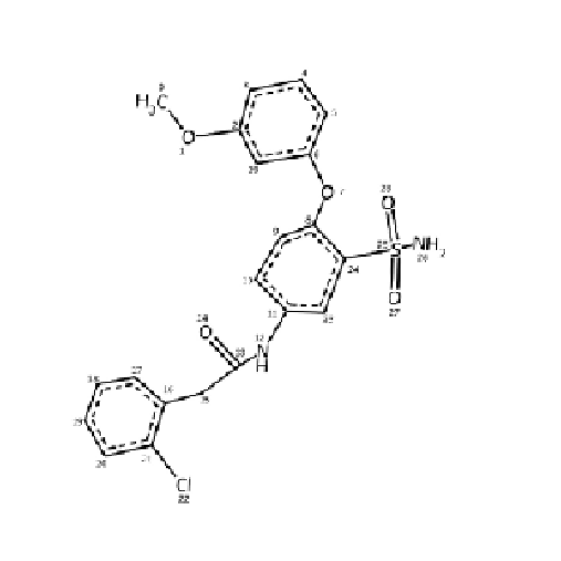 COc1cccc(Oc2ccc(NC(=O)Cc3ccccc3Cl)cc2S(N)(=O)=O)c1